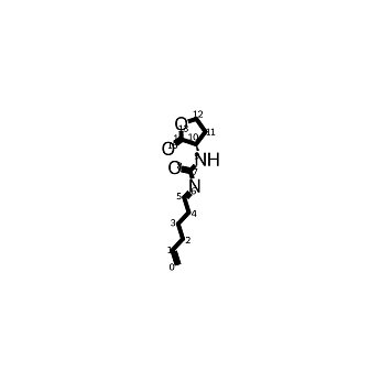 C=CCCC/C=N/C(=O)N[C@H]1CCOC1=O